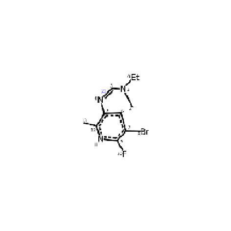 CCN(C)/C=N\c1cc(Br)c(F)nc1C